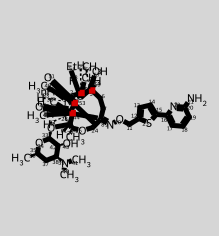 CCCN1C[C@H](C)[C@H]2CC/C(=N\OCc3ccc(-c4cccc(N)n4)s3)CO[C@](C)(C[C@H]1C)[C@H](O[C@@H]1O[C@H](C)C[C@H](N(C)C)[C@H]1O)[C@@H](C)C(=O)[C@@H](C)C(=O)O[C@H](CC)[C@@]2(C)O